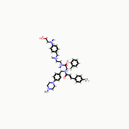 CC(=O)N1CCN(c2ccc(CN(C(=O)C=Cc3ccc(C(F)(F)F)cc3)[C@@H](Cc3ccccc3)C(=O)N(C)CCN(C)Cc3ccc(N(C)CCO)cc3)cc2)CC1